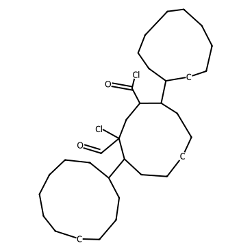 O=CC1(Cl)CC(C(=O)Cl)C(C2CCCCCCCCC2)CCCCCC1C1CCCCCCCCCC1